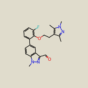 Cc1nn(C)c(C)c1CCOc1c(F)cccc1-c1ccc2c(c1)c(C=O)nn2C